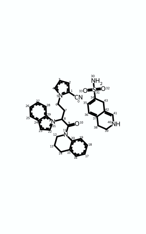 N#Cc1cccn1CCC(C(=O)N1CCCc2ccccc21)n1ccc2ccccc21.NS(=O)(=O)C1=CC=C2CCNC=C2C1